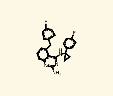 Nc1nc(NC2(c3ccc(F)cc3)CC2)c2c(Cc3ccc(F)cc3)cccc2n1